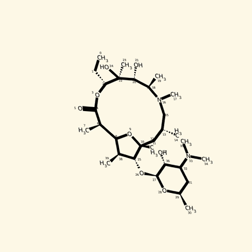 CC[C@H]1OC(=O)[C@H](C)C2O[C@](C)(C[C@@H](C)CN(C)[C@H](C)[C@@H](O)[C@]1(C)O)[C@H](O[C@@H]1O[C@H](C)CC(N(C)C)[C@H]1O)[C@H]2C